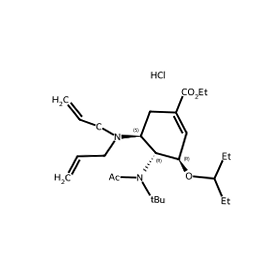 C=CCN(CC=C)[C@H]1CC(C(=O)OCC)=C[C@@H](OC(CC)CC)[C@@H]1N(C(C)=O)C(C)(C)C.Cl